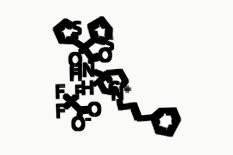 O=C(N[C@H]1C[N+]2(CC=Cc3ccccc3)CCC1CC2)C(O)(c1cccs1)c1cccs1.O=C([O-])C(F)(F)F